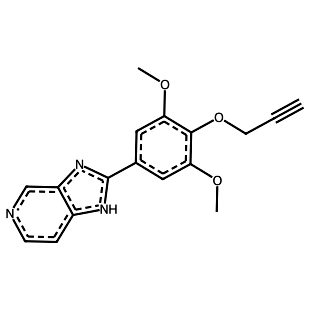 C#CCOc1c(OC)cc(-c2nc3cnccc3[nH]2)cc1OC